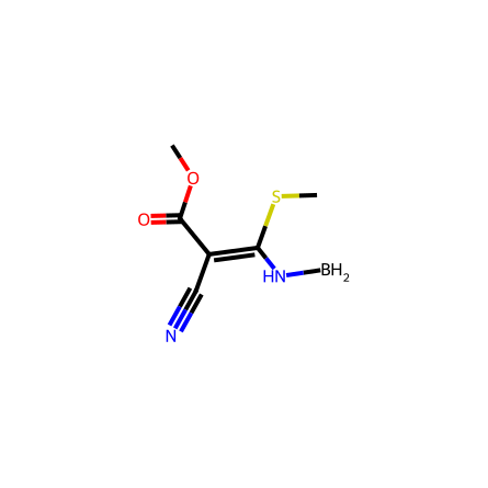 BN/C(SC)=C(\C#N)C(=O)OC